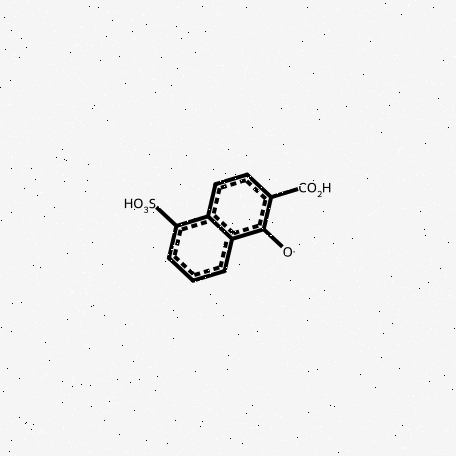 [O]c1c(C(=O)O)ccc2c(S(=O)(=O)O)cccc12